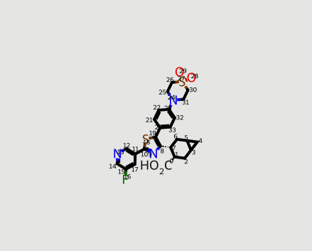 O=C(O)[C@@H]1CC2CC2C[C@H]1c1nc(-c2cncc(F)c2)sc1-c1ccc(N2CCS(=O)(=O)CC2)cc1